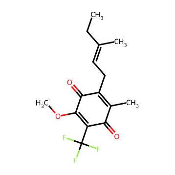 CC/C(C)=C/CC1=C(C)C(=O)C(C(F)(F)F)=C(OC)C1=O